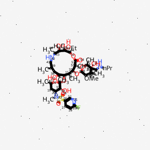 CCCNC[C@]1(O)[C@H](C)O[C@@H](O[C@H]2[C@H](C)[C@@H](O[C@@H]3O[C@H](C)C[C@H](N(C)S(=O)(=O)c4ccc(F)nc4)[C@H]3O)[C@](C)(O)C[C@@H](C)CN[C@H](C)[C@@H](O)[C@](C)(O)[C@@H](CC)OC(=O)[C@@H]2C)C[C@@]1(C)OC